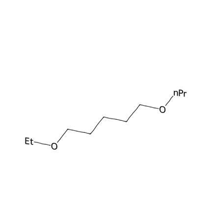 [CH2]CCOCCCCCOCC